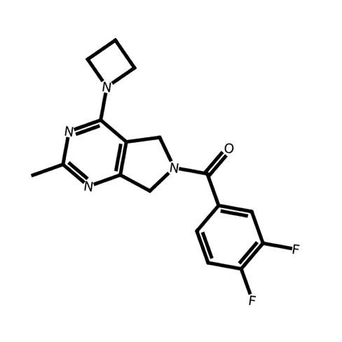 Cc1nc2c(c(N3CCC3)n1)CN(C(=O)c1ccc(F)c(F)c1)C2